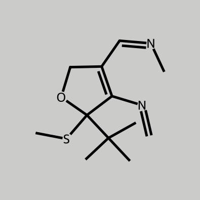 C=NC1=C(/C=N\C)COC1(SC)C(C)(C)C